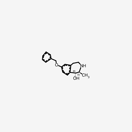 C[C@@H]1NCCc2cc(OCc3ccccc3)ccc2[C@H]1O